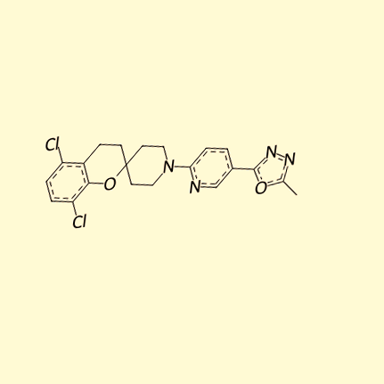 Cc1nnc(-c2ccc(N3CCC4(CCc5c(Cl)ccc(Cl)c5O4)CC3)nc2)o1